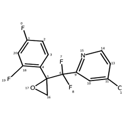 Fc1ccc(C2(C(F)(F)c3cc(Cl)ccn3)CO2)c(F)c1